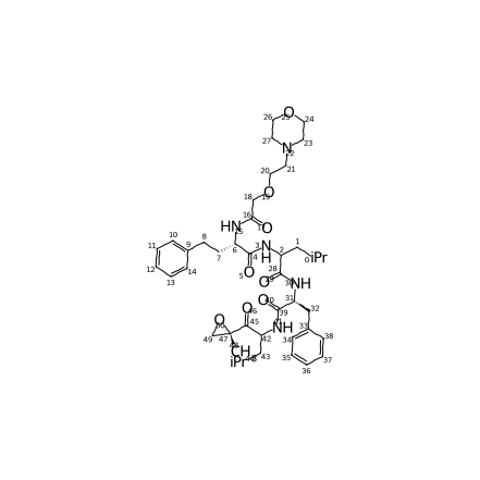 CC(C)CC(NC(=O)[C@H](CCc1ccccc1)NC(=O)COCCN1CCOCC1)C(=O)N[C@@H](Cc1ccccc1)C(=O)NC(CC(C)C)C(=O)[C@]1(C)CO1